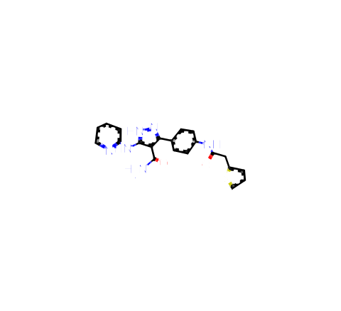 NC(=O)c1c(-c2ccc(NC(=O)Cc3cccs3)cc2)n[nH]c1Nc1ccccn1